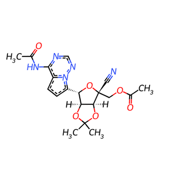 CC(=O)Nc1ncnn2c([C@@H]3O[C@](C#N)(COC(C)=O)[C@H]4OC(C)(C)O[C@@H]34)ccc12